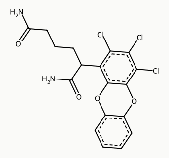 NC(=O)CCCC(C(N)=O)c1c(Cl)c(Cl)c(Cl)c2c1Oc1ccccc1O2